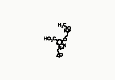 Cc1nc(CCOc2cc(C(=O)O)cc3c2ncn3CC2CCO2)co1